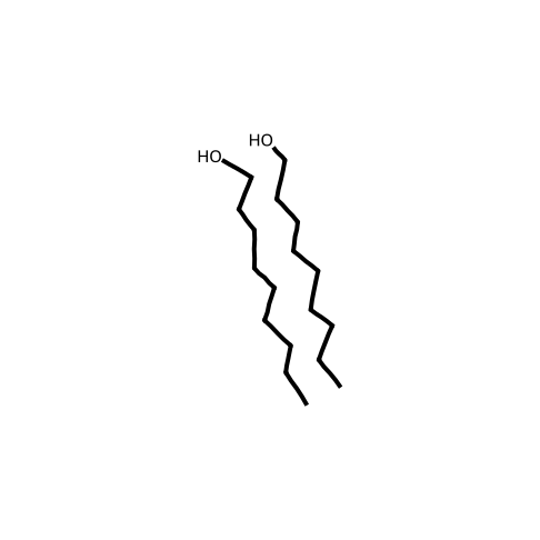 CCCCCCCCCO.CCCCCCCCCO